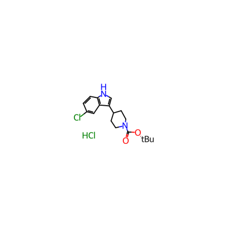 CC(C)(C)OC(=O)N1CCC(c2c[nH]c3ccc(Cl)cc23)CC1.Cl